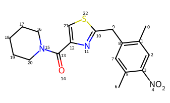 Cc1cc([N+](=O)[O-])c(C)cc1Cc1nc(C(=O)N2CCCCC2)cs1